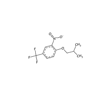 CC(C)COc1ccc(C(F)(F)F)cc1[N+](=O)[O-]